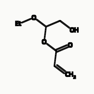 C=CC(=O)OC(CO)OCC